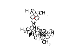 COc1ccc(CN(Cc2ccc(OC)cc2)c2cc(C)c(C(F)(F)F)c(-c3c(Cl)c4c5c(nc(OCC67CCCN6CCC7)nc5c3F)N([C@H](C)c3cccnc3NC(=O)O)CCO4)n2)cc1